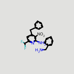 NCc1ccccc1.Nc1nc(C(F)F)cc(Cc2ccccc2)c1[N+](=O)[O-]